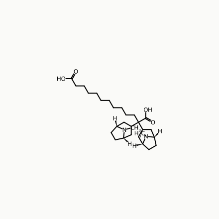 CN1[C@@H]2CC[C@H]1CC(C(CCCCCCCCCCC(=O)O)(C(=O)O)C1C[C@H]3CC[C@@H](C1)N3C)C2